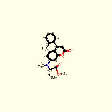 COC[C@@H](C(=O)OC(C)(C)C)N(C)c1ccc2c(-c3ccccc3C)cc(=O)oc2c1